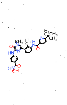 Cc1c(NC(=O)c2ccc(C(C)(C)C)nc2)cccc1-c1cn(C)c(=O)c(Nc2ccc(C(=O)NO)cc2)n1